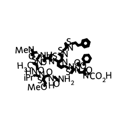 CNC(=O)C[C@H](NC(=O)c1csc(-c2ccc(-c3nc(N(Cc4coc(C(=O)O)n4)C(=O)OC4CCCCC4)cs3)nc2-c2csc(-c3csc(CCc4ccccc4)n3)n2)n1)c1nc(C(=O)NC(c2nc(C(=O)NCC(N)=O)c(COC)s2)C(C)C)c(C)s1